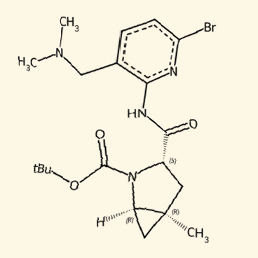 CN(C)Cc1ccc(Br)nc1NC(=O)[C@@H]1C[C@@]2(C)C[C@H]2N1C(=O)OC(C)(C)C